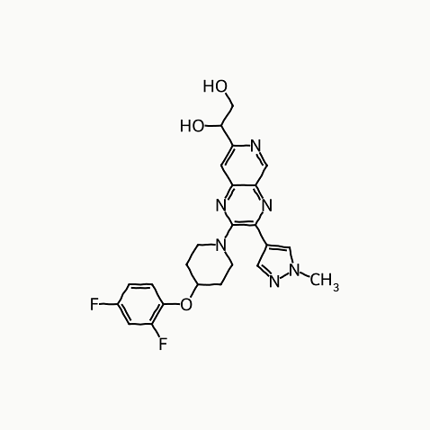 Cn1cc(-c2nc3cnc(C(O)CO)cc3nc2N2CCC(Oc3ccc(F)cc3F)CC2)cn1